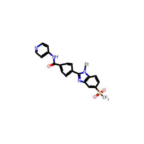 CCn1c(-c2ccc(C(=O)Nc3ccncc3)cc2)nc2cc(S(=O)(=O)C(F)(F)F)ccc21